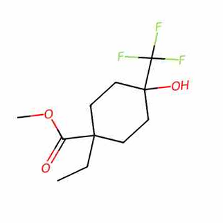 CCC1(C(=O)OC)CCC(O)(C(F)(F)F)CC1